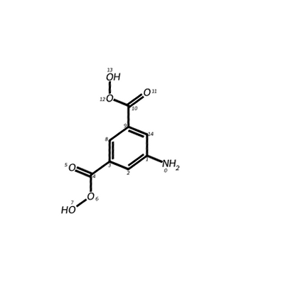 Nc1cc(C(=O)OO)cc(C(=O)OO)c1